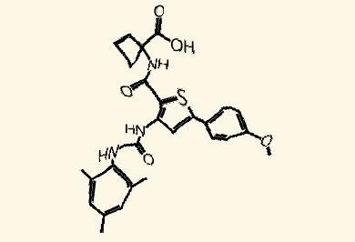 COc1ccc(-c2cc(NC(=O)Nc3c(C)cc(C)cc3C)c(C(=O)NC3(C(=O)O)CCC3)s2)cc1